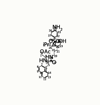 CC(=O)OCCN[C@@H](Cc1cccc2ccccc12)C(=O)NCCC[C@@H](CO)N(CC(C)C)S(=O)(=O)c1ccc(N)cc1